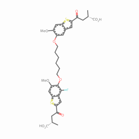 COc1cc2sc(C(=O)C[C@H](C)C(=O)O)cc2cc1OCCCCCCOc1c(OC)cc2sc(C(=O)C[C@H](C)C(=O)O)cc2c1F